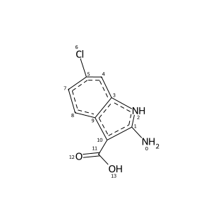 Nc1[nH]c2cc(Cl)ccc2c1C(=O)O